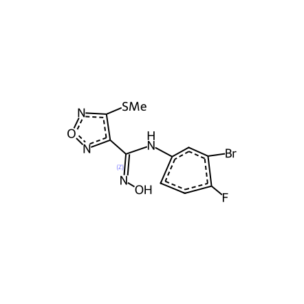 CSc1nonc1/C(=N/O)Nc1ccc(F)c(Br)c1